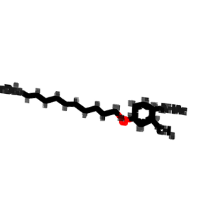 CCCCCCCCCCCCCCCCCCCCOc1ccc(NC(C)=O)c(C)c1